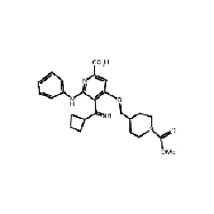 COC(=O)N1CCC(COc2cc(C(=O)O)nc(Nc3ccccc3)c2C(=N)C2CCC2)CC1